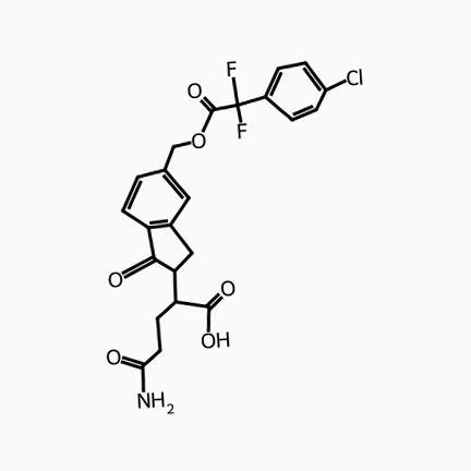 NC(=O)CCC(C(=O)O)C1Cc2cc(COC(=O)C(F)(F)c3ccc(Cl)cc3)ccc2C1=O